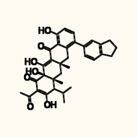 CC(=O)C1=C(O)C(C(C)C)[C@@]2(C)C[C@@]3(C)Cc4c(-c5ccc6c(c5)CCC6)ccc(O)c4C(=O)C3=C(O)[C@@]2(O)C1=O